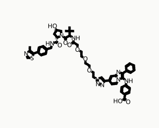 Cc1ncsc1-c1ccc(CNC(=O)[C@@H]2C[C@@H](O)CN2C(=O)C(NC(=O)COCCOCCOCCn2cc(-c3ccn4c(Nc5ccc(C(=O)O)cc5)c(-c5ccccc5)nc4c3)nn2)C(C)(C)C)cc1